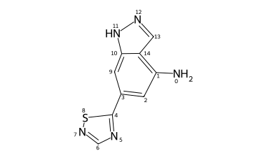 Nc1cc(-c2ncns2)cc2[nH]ncc12